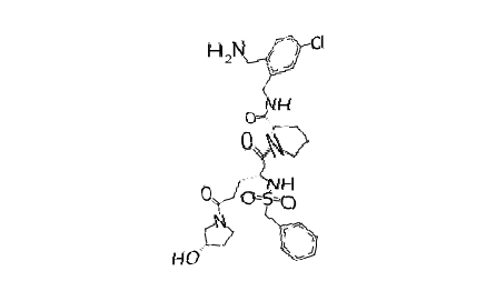 NCc1ccc(Cl)cc1CNC(=O)[C@@H]1CCCN1C(=O)[C@@H](CCC(=O)N1CC[C@H](O)C1)NS(=O)(=O)Cc1ccccc1